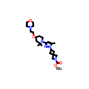 Cc1cc(N2CC[C@@H](OCCN3CCOCC3)CC2(C)C)nn1C1CC2(C1)CN(C(=O)OC(C)(C)C)C2